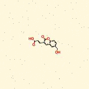 O=C(O)/C=C/c1cc2cc(CO)ccc2oc1=O